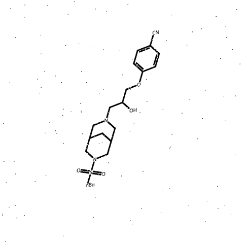 CCCCS(=O)(=O)N1CC2CC(CN(CC(O)COc3ccc(C#N)cc3)C2)C1